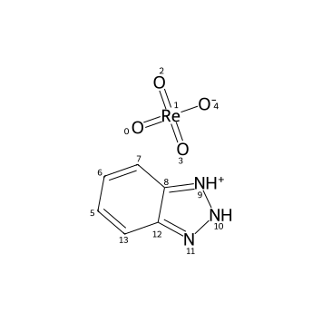 [O]=[Re](=[O])(=[O])[O-].c1ccc2[nH+][nH]nc2c1